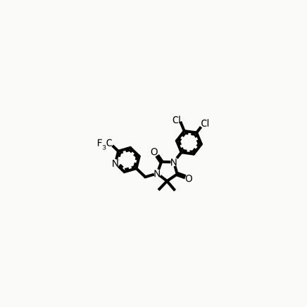 CC1(C)C(=O)N(c2ccc(Cl)c(Cl)c2)C(=O)N1Cc1ccc(C(F)(F)F)nc1